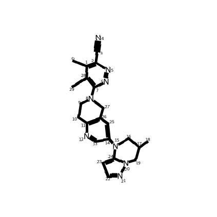 Cc1c(C#N)nnc(N2CCc3ncc(N4CC(C)Cn5nccc54)cc3C2)c1C